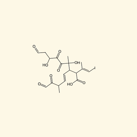 C/C(=C\I)C(C(=O)O)C(/C=C/C(C)C(=O)C=O)C(C)(O)C(=O)C(=O)C(O)CC=O